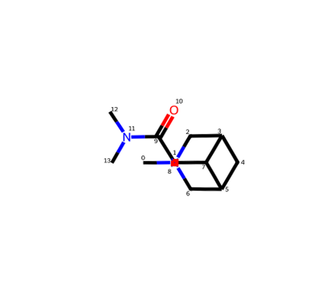 CN1CC2CC(C1)C2CC(=O)N(C)C